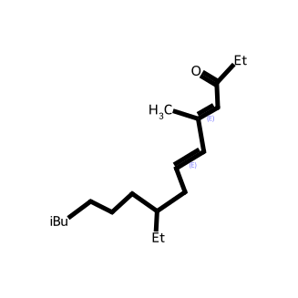 CCC(=O)/C=C(C)/C=C/CC(CC)CCCC(C)CC